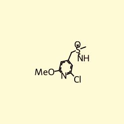 COc1cc(CS(C)(=N)=O)cc(Cl)n1